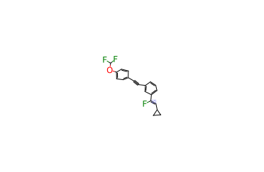 F/C(=C\C1CC1)c1cccc(C#Cc2ccc(OC(F)F)cc2)c1